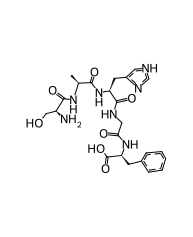 C[C@H](NC(=O)[C@@H](N)CO)C(=O)N[C@@H](Cc1c[nH]cn1)C(=O)NCC(=O)N[C@@H](Cc1ccccc1)C(=O)O